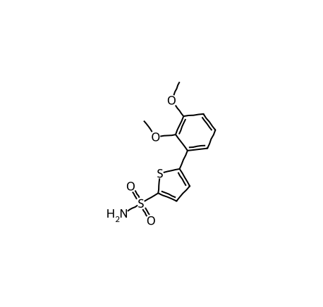 COc1cccc(-c2ccc(S(N)(=O)=O)s2)c1OC